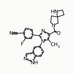 Cc1c(C(=O)N2CCC3(CCN3)C2)nc(-c2ccc(C#N)c(F)c2)n1-c1ccc2[nH]ncc2c1